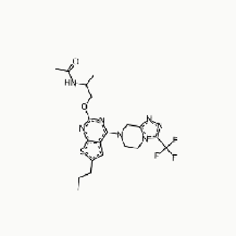 CCCc1cc2c(N3CCn4c(nnc4C(F)(F)F)C3)nc(OCC(C)NC(C)=O)nc2s1